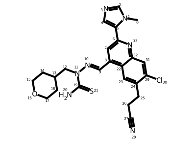 Cn1cncc1-c1cc(/C=N/N(CC2CCOCC2)C(N)=S)c2cc(CCC#N)c(Cl)cc2n1